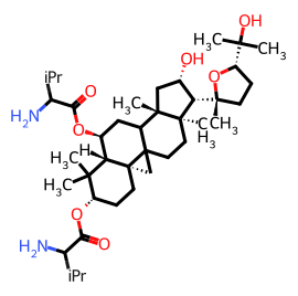 CC(C)C(N)C(=O)O[C@H]1CC2C3(CC[C@]4(C)[C@@H]([C@@]5(C)CC[C@@H](C(C)(C)O)O5)[C@@H](O)C[C@@]24C)C[C@@]32CC[C@H](OC(=O)C(N)C(C)C)C(C)(C)[C@H]12